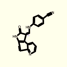 N#Cc1ccc(N/C=C2\C(=O)Nc3ccc4ncccc4c32)cc1